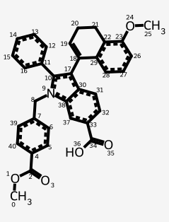 COC(=O)c1ccc(Cn2c(-c3ccccc3)c(C3=CCCc4c(OC)cccc43)c3ccc(C(=O)O)cc32)cc1